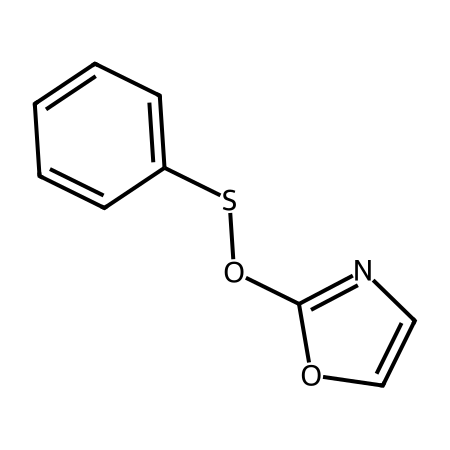 c1ccc(SOc2ncco2)cc1